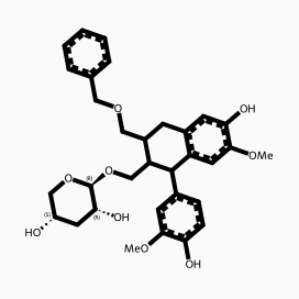 COc1cc(C2c3cc(OC)c(O)cc3CC(COCc3ccccc3)C2CO[C@@H]2OC[C@@H](O)C[C@H]2O)ccc1O